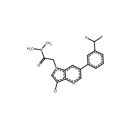 CN(C)C(=O)Cn1cc(Cl)c2ncc(-c3cccc(C(F)F)c3)cc21